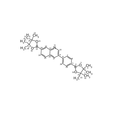 CC1(C)OB(c2ccc(-c3cnc4cc(B5OC(C)(C)C(C)(C)O5)ccc4c3)cc2)OC1(C)C